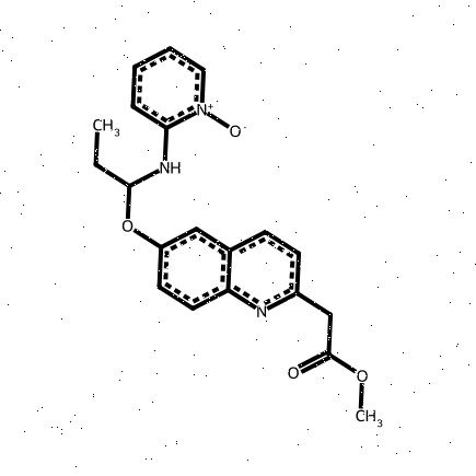 CCC(Nc1cccc[n+]1[O-])Oc1ccc2nc(CC(=O)OC)ccc2c1